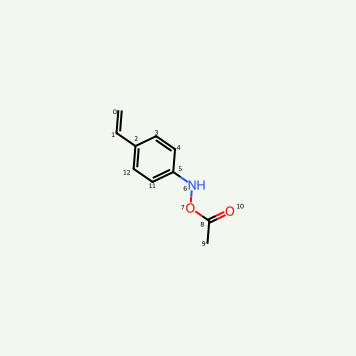 C=Cc1ccc(NOC(C)=O)cc1